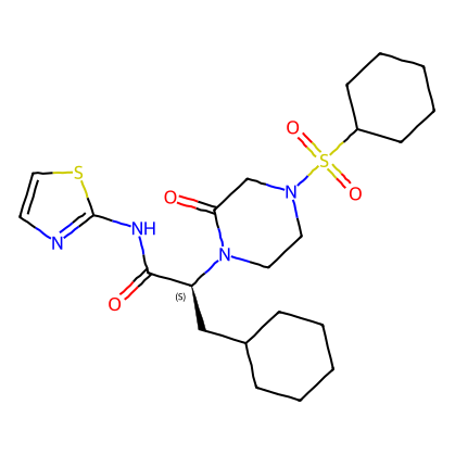 O=C(Nc1nccs1)[C@H](CC1CCCCC1)N1CCN(S(=O)(=O)C2CCCCC2)CC1=O